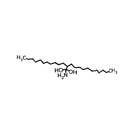 CCCCCCCCCCCC(CCCCCCCCCCC)C(N)(O)O